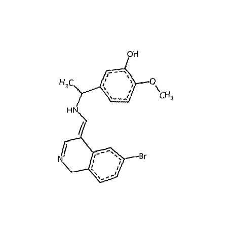 COc1ccc(C(C)N/C=C2\C=NCc3ccc(Br)cc32)cc1O